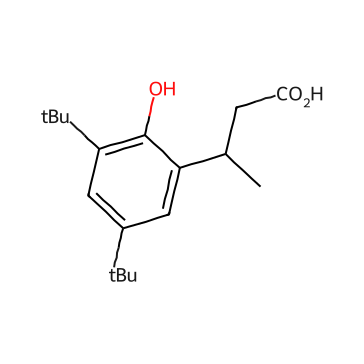 CC(CC(=O)O)c1cc(C(C)(C)C)cc(C(C)(C)C)c1O